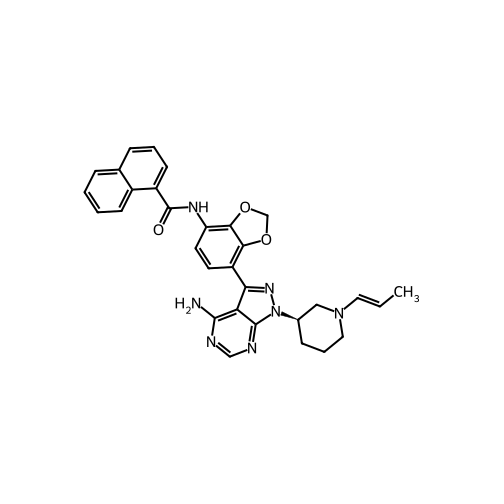 CC=CN1CCC[C@@H](n2nc(-c3ccc(NC(=O)c4cccc5ccccc45)c4c3OCO4)c3c(N)ncnc32)C1